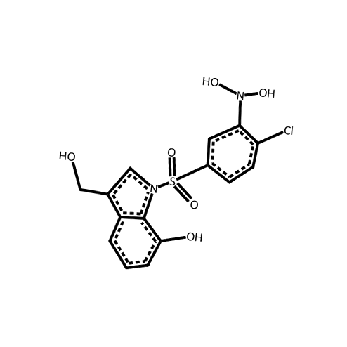 O=S(=O)(c1ccc(Cl)c(N(O)O)c1)n1cc(CO)c2cccc(O)c21